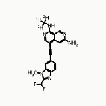 [2H]C([2H])([2H])Nc1ncc(C#Cc2ccc3nc(C(F)F)n(C)c3c2)c2cc(N)ncc12